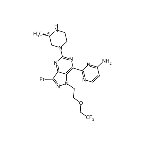 CCc1nn(CCOCC(F)(F)F)c2c(-c3nccc(N)n3)nc(N3CCN[C@H](C)C3)nc12